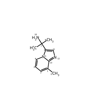 Cc1cccn2c(C(C)(C)N)cnc12